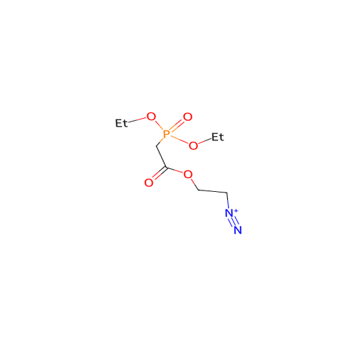 CCOP(=O)(CC(=O)OCC[N+]#N)OCC